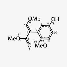 CO/C=C(/C(=O)OC)c1cc(O)ccc1OC